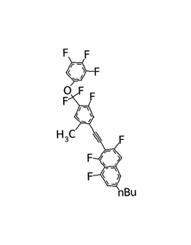 CCCCc1cc(F)c2c(F)c(C#Cc3cc(F)c(C(F)(F)Oc4cc(F)c(F)c(F)c4)cc3C)c(F)cc2c1